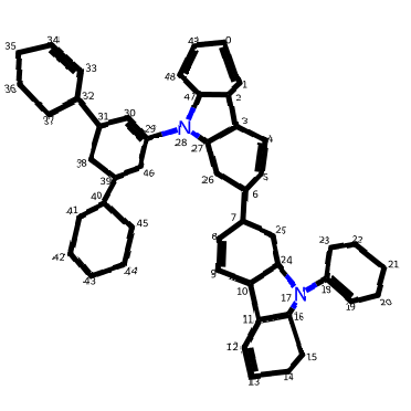 C1=CC2C3C=CC(C4C=CC5C6C=CCCC6N(C6=CCCCC6)C5C4)CC3N(C3=CC(C4C=CCCC4)CC(C4CCCCC4)C3)C2C=C1